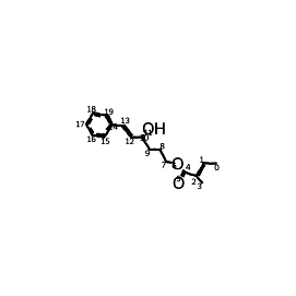 CC=C(C)C(=O)OCCCC(O)C=Cc1ccccc1